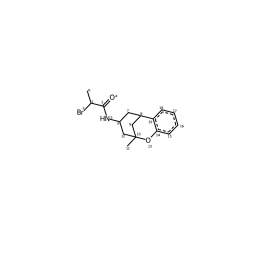 CC(Br)C(=O)NC1CC2CC(C)(C1)Oc1ccccc12